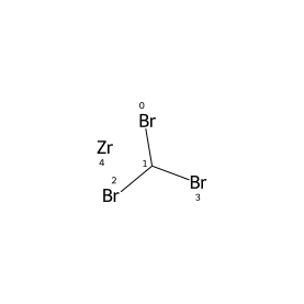 BrC(Br)Br.[Zr]